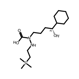 C[Si](C)(C)CCNN(CCC[C@@H](O)C1CCCCC1)C(=O)O